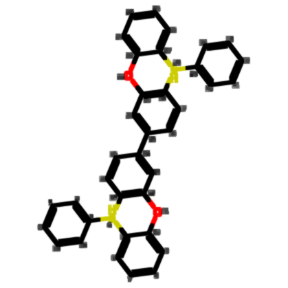 c1ccc([SH]2c3ccccc3Oc3cc(-c4ccc5c(c4)Oc4ccccc4[SH]5c4ccccc4)ccc32)cc1